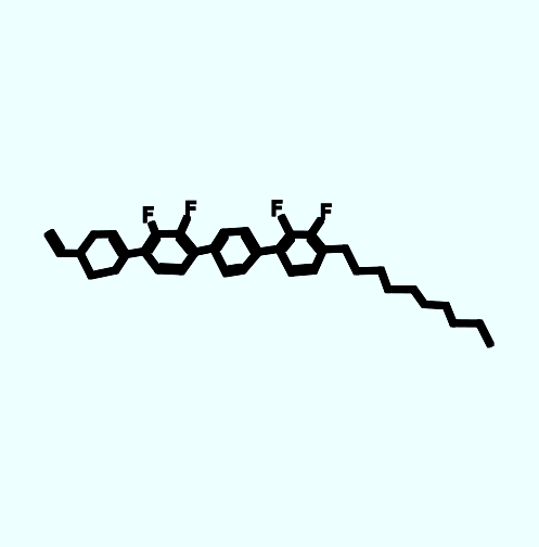 C=CC1CC=C(c2ccc(-c3ccc(-c4ccc(CCCCCCCCCC)c(F)c4F)cc3)c(F)c2F)CC1